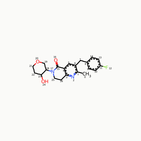 Cc1nc2c(cc1Cc1ccc(F)cc1)C(=O)N(C1COCCC1O)CC2